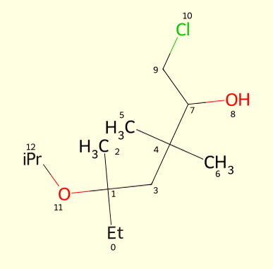 CCC(C)(CC(C)(C)C(O)CCl)OC(C)C